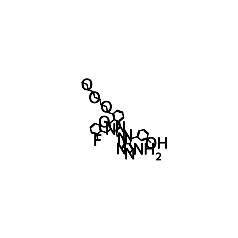 COCCOCCOCc1cccc2nc(Cn3nc(-c4cccc(O)c4)c4c(N)ncnc43)n(Cc3ccccc3F)c(=O)c12